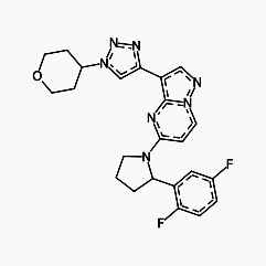 Fc1ccc(F)c(C2CCCN2c2ccn3ncc(-c4cn(C5CCOCC5)nn4)c3n2)c1